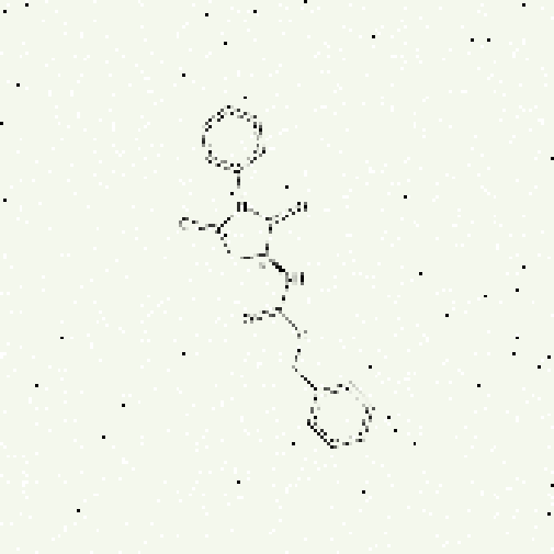 O=C(N[C@H]1CC(=O)N(c2ccccc2)C1=O)OCc1ccccc1